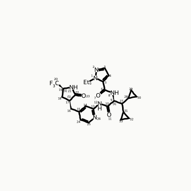 CCn1nccc1C(=O)N[C@H](C(=O)Nc1cc(C[C@H]2C[C@@H](C(F)(F)F)NC2=O)ccn1)C(C1CC1)C1CC1